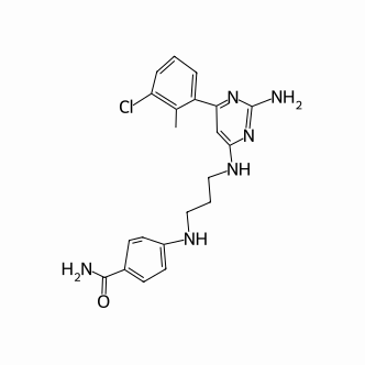 Cc1c(Cl)cccc1-c1cc(NCCCNc2ccc(C(N)=O)cc2)nc(N)n1